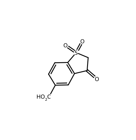 O=C(O)c1ccc2c(c1)C(=O)CS2(=O)=O